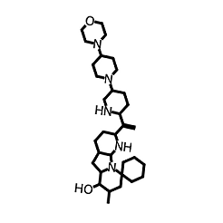 C=C(C1CCC(N2CCC(N3CCOCC3)CC2)CN1)C1CCC2CC3C(O)C(C)CC4(CCCCC4)N3C2N1